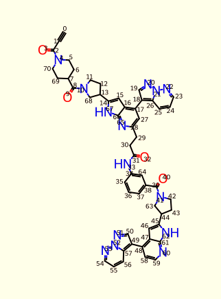 C#CC(=O)N1CCC(C(=O)N2CCC(c3cc4c(-c5cnn6ncccc56)cc(CCC(=O)Nc5cccc(C(=O)N6CCC(c7cc8c(-c9cnn%10ncccc9%10)ccnc8[nH]7)C6)c5)nc4[nH]3)C2)CC1